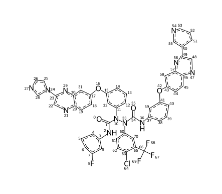 O=C(Nc1cccc(F)c1)N(c1cccc(Oc2ccc3ncc(-n4ccnc4)nc3c2)c1)N(C(=O)Nc1cccc(Oc2ccc3ncc(-c4cccnc4)nc3c2)c1)c1ccc(Cl)c(C(F)(F)F)c1